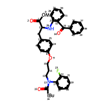 COC(=O)C(Cc1ccc(OCCCN(C(=O)C(C)(C)C)c2ccccc2F)cc1)Nc1ccccc1C(=O)c1ccccc1